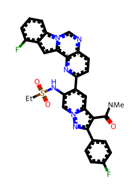 CCS(=O)(=O)Nc1cn2nc(-c3ccc(F)cc3)c(C(=O)NC)c2cc1-c1ccc2ncn3c4cccc(F)c4cc3c2n1